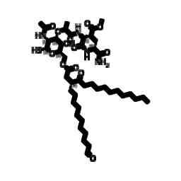 CCCCCCCCCCCC(=O)[C@H](CCCCCCCCCCC=O)CC(=O)OC[C@H]1O[C@@H](S)[C@H](NC(C)=O)[C@H](OC(C)C(=O)N[C@@H](C)C(=O)N[C@H](CCC(=O)OC)C(N)=O)[C@@H]1O